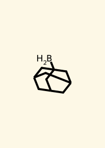 BC12CC3CC(CC(C3)C1)C2